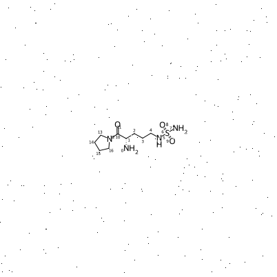 N[C@@H](CCCNS(N)(=O)=O)C(=O)N1CCCC1